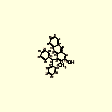 Cc1c(O)cc2nc3ccccc3cc2c1C(c1ccccc1)c1ccccc1